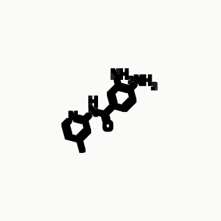 Cc1ccnc(NC(=O)c2ccc(N)c(N)c2)c1